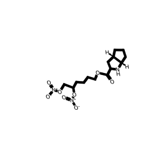 O=C(OCCCCC(CO[N+](=O)[O-])O[N+](=O)[O-])C1C[C@@H]2CCC[C@@H]2N1